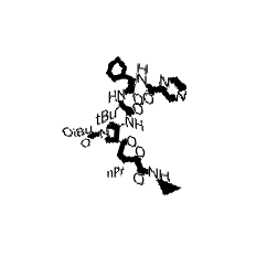 CCC[C@H](CC(=O)[C@@H]1CN(C(=O)OCC(C)C)C[C@@H]1NC(=O)[C@@H](NC(=O)[C@@H](NC(=O)c1cnccn1)C1CCCCC1)C(C)(C)C)C(=O)C(=O)NC1CC1